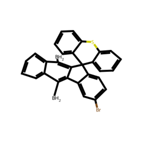 Bc1c2c(c(B)c3ccccc13)C1(c3ccccc3Sc3ccccc31)c1ccc(Br)cc1-2